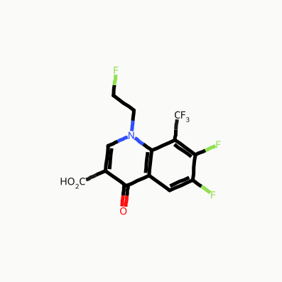 O=C(O)c1cn(CCF)c2c(C(F)(F)F)c(F)c(F)cc2c1=O